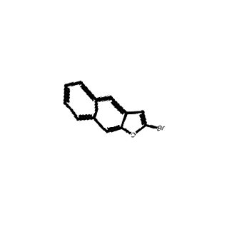 Brc1cc2cc3ccccc3cc2o1